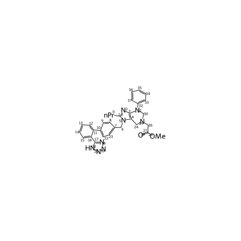 CCCc1nc2c(n1Cc1ccc(-c3ccccc3-c3nnn[nH]3)cc1)CN(CC(=O)OC)CN2c1ccccc1